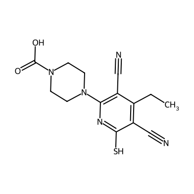 CCc1c(C#N)c(S)nc(N2CCN(C(=O)O)CC2)c1C#N